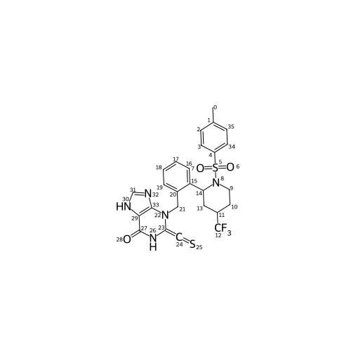 Cc1ccc(S(=O)(=O)N2CCC(C(F)(F)F)CC2c2ccccc2CN2C(=C=S)NC(=O)c3[nH]cnc32)cc1